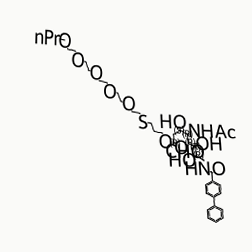 CCCOCCOCCOCCOCCOCCSCCCO[C@]1(C=O)C[C@H](O)[C@@H](NC(C)=O)[C@H]([C@H](O)[C@H](O)CNC(=O)c2ccc(-c3ccccc3)cc2)O1